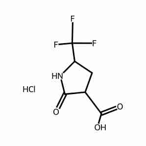 Cl.O=C(O)C1CC(C(F)(F)F)NC1=O